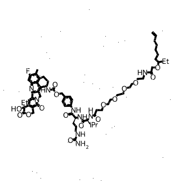 C=CCCCCCC(CC)OCC(=O)NCCOCCOCCOCCOCCC(=O)N[C@H](C(=O)N[C@@H](CCCNC(N)=O)C(=O)Nc1ccc(COC(=O)N[C@H]2CCc3c(C)c(F)cc4nc5c(c2c34)Cn2c-5cc3c(c2=O)COC(=O)[C@]3(O)CC)cc1)C(C)C